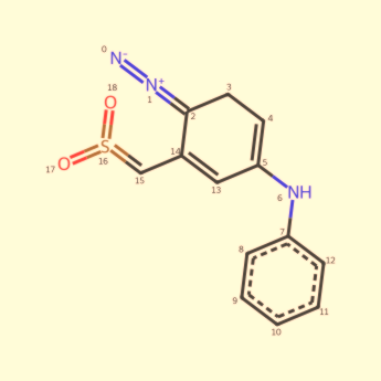 [N-]=[N+]=C1CC=C(Nc2ccccc2)C=C1C=S(=O)=O